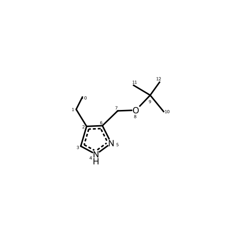 [CH2]Cc1c[nH]nc1COC(C)(C)C